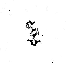 Cc1ccnn1-c1nnc(-n2c(C)ccc2C)s1